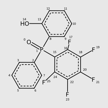 O=P(c1ccccc1)(c1ccccc1O)c1c(F)c(F)c(F)c(F)c1F